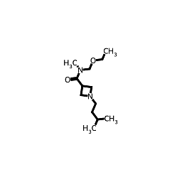 CCOCN(C)C(=O)C1CN(CCC(C)C)C1